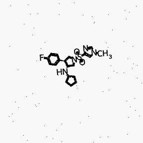 Cn1cnc(S(=O)(=O)N2C[C@H](NC3CCCC3)[C@@H](c3ccc(F)cc3)C2)c1